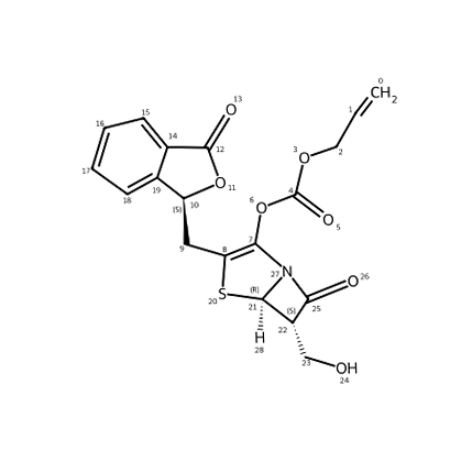 C=CCOC(=O)OC1=C(C[C@@H]2OC(=O)c3ccccc32)S[C@@H]2[C@@H](CO)C(=O)N12